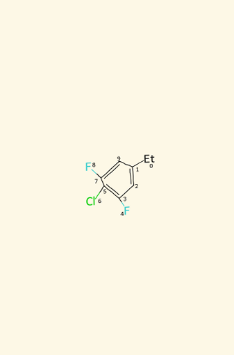 CCc1cc(F)c(Cl)c(F)c1